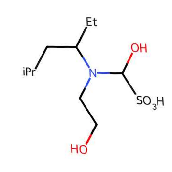 CCC(CC(C)C)N(CCO)C(O)S(=O)(=O)O